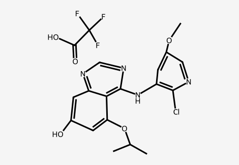 COc1cnc(Cl)c(Nc2ncnc3cc(O)cc(OC(C)C)c23)c1.O=C(O)C(F)(F)F